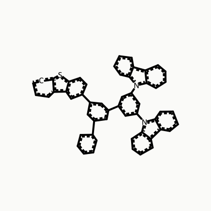 c1ccc(-c2cc(-c3cc(-n4c5ccccc5c5ccccc54)cc(-n4c5ccccc5c5ccccc54)c3)cc(-c3ccc4sc5ccccc5c4c3)c2)cc1